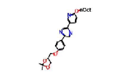 CCCCCCCCOc1ccc(-c2cnc(-c3ccc(OC[C@H]4COC(C)(C)O4)cc3)cn2)cn1